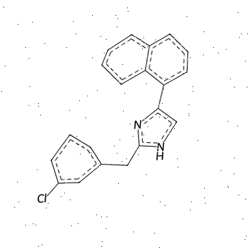 Clc1cccc(Cc2nc(-c3cccc4ccccc34)c[nH]2)c1